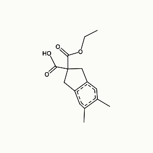 CCOC(=O)C1(C(=O)O)Cc2cc(C)c(C)cc2C1